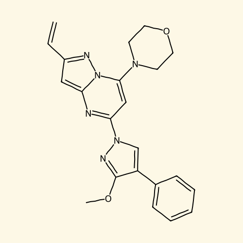 C=Cc1cc2nc(-n3cc(-c4ccccc4)c(OC)n3)cc(N3CCOCC3)n2n1